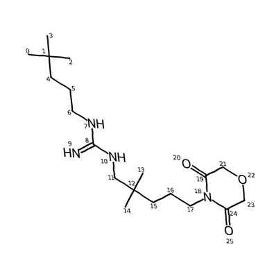 CC(C)(C)CCCNC(=N)NCC(C)(C)CCCN1C(=O)COCC1=O